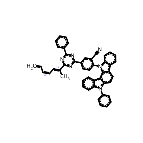 C=C/C=C\C=C(/C)c1nc(-c2ccccc2)nc(-c2ccc(-n3c4ccccc4c4ccc5c(c6ccccc6n5-c5ccccc5)c43)c(C#N)c2)n1